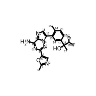 Cc1ncc(-c2nc(N)c3ncc(-c4cc(C(C)(O)C(F)F)ccc4C)n3n2)o1